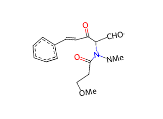 CNN(C(=O)CCOC)C([C]=O)C(=O)C=Cc1ccccc1